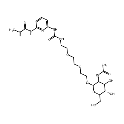 CNC(=S)Nc1cccc(NC(=S)NCCOCCOCCO[C@@H]2OC(CO)[C@@H](O)C(O)[C@@H]2NC(C)=O)n1